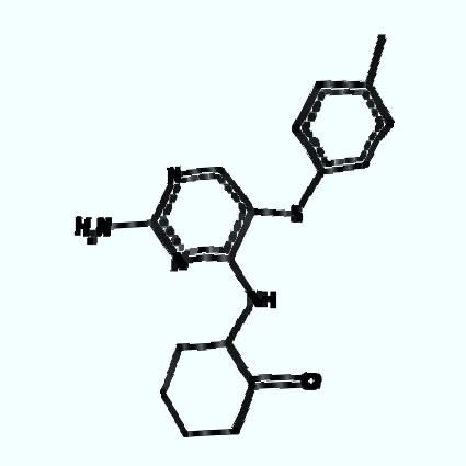 Cc1ccc(Sc2cnc(N)nc2NC2CCCCC2=O)cc1